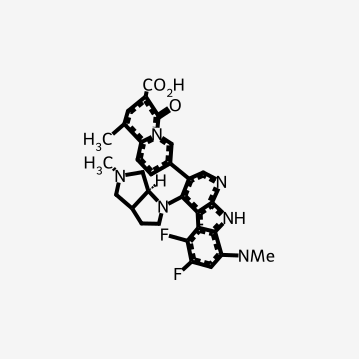 CNc1cc(F)c(F)c2c1[nH]c1ncc(-c3ccc4c(C)cc(C(=O)O)c(=O)n4c3)c(N3CCC4CN(C)C[C@H]43)c12